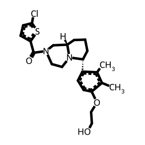 Cc1c(OCCO)ccc([C@H]2CCC[C@H]3CN(C(=O)c4ccc(Cl)s4)CCN32)c1C